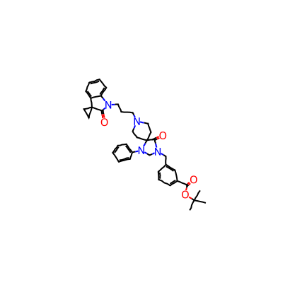 CC(C)(C)OC(=O)c1cccc(CN2CN(c3ccccc3)C3(CCN(CCCN4C(=O)C5(CC5)c5ccccc54)CC3)C2=O)c1